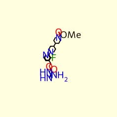 COC(=O)N1CCC(C2CCN(c3nccc(COC(=O)NC(=N)N)c3F)CC2)CC1